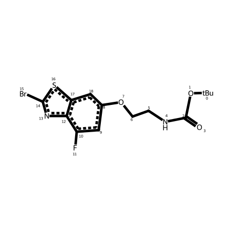 CC(C)(C)OC(=O)NCCOc1cc(F)c2nc(Br)sc2c1